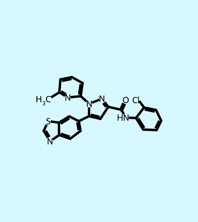 Cc1cccc(-n2nc(C(=O)Nc3ccccc3Cl)cc2-c2ccc3ncsc3c2)n1